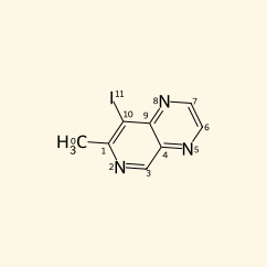 Cc1ncc2nccnc2c1I